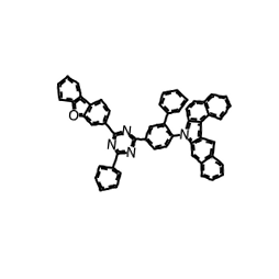 c1ccc(-c2nc(-c3ccc(-n4c5cc6ccccc6cc5c5c6ccccc6ccc54)c(-c4ccccc4)c3)nc(-c3ccc4c(c3)oc3ccccc34)n2)cc1